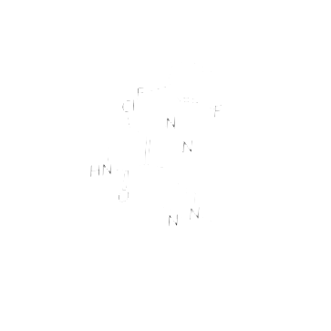 Cn1cc(-c2nn(-c3c(F)cccc3F)c3c(Cl)c[nH]c(=O)c23)cn1